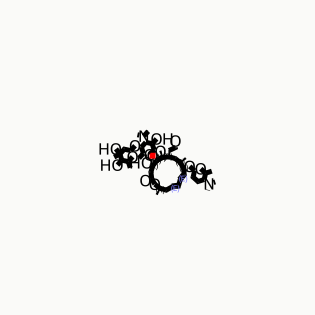 CO[C@@H]1[C@@H](OC2OC(C)C(OC3CC(C)(O)C(O)C(C)O3)C(N(C)C)C2O)[C@@H](CC=O)C[C@@H](C)[C@@H](OC2CCC(N(C)C)C(C)O2)/C=C/C=C/C[C@@H](C)OC(=O)C[C@H]1O